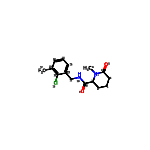 CN1C(=O)CCCC1C(=O)NCc1cccc(C(F)(F)F)c1Cl